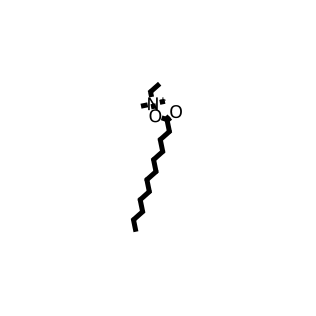 CCCCCCCCCCCC(=O)O[N+](C)(C)CC